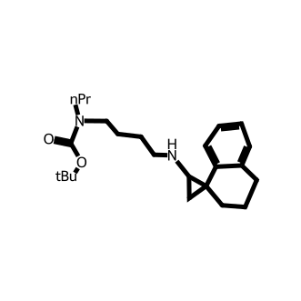 CCCN(CCCCNC1CC12CCCc1ccccc12)C(=O)OC(C)(C)C